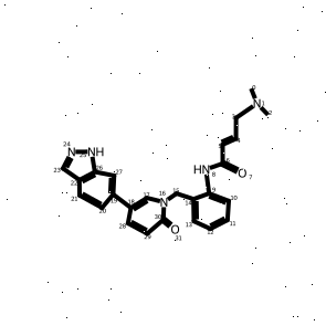 CN(C)CC=CC(=O)Nc1ccccc1Cn1cc(-c2ccc3cn[nH]c3c2)ccc1=O